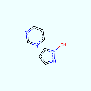 On1cccn1.c1cncnc1